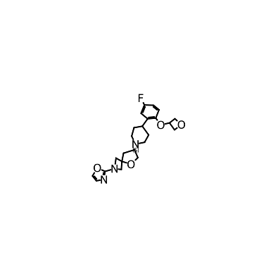 Fc1ccc(OC2COC2)c(C2CCN([C@@H]3COC4(C3)CN(c3ncco3)C4)CC2)c1